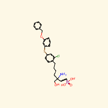 NC(/C=C/P(=O)(O)O)(CO)CCCCc1ccc(Sc2cccc(OCc3ccccc3)c2)cc1Cl